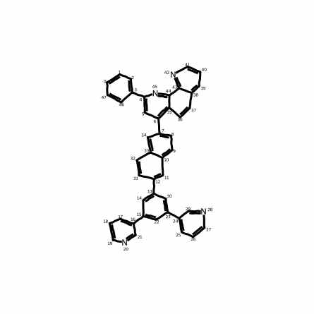 c1ccc(-c2cc(-c3ccc4cc(-c5cc(-c6cccnc6)cc(-c6cccnc6)c5)ccc4c3)c3ccc4cccnc4c3n2)cc1